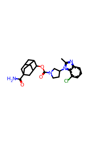 Cc1nc2cccc(Cl)c2n1C1CCN(C(=O)OC2C3CC4CC2CC(C(N)=O)(C4)C3)C1